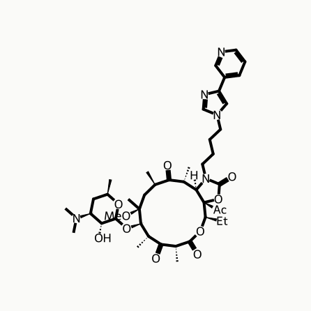 CC[C@H]1OC(=O)[C@H](C)C(=O)[C@H](C)[C@@H](OC2O[C@H](C)C[C@H](N(C)C)[C@H]2O)[C@@](C)(OC)C[C@@H](C)C(=O)[C@H](C)[C@H]2N(CCCCn3cnc(-c4cccnc4)c3)C(=O)O[C@]12C(C)=O